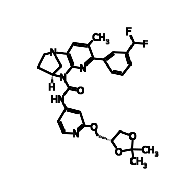 Cc1cc2c(nc1-c1cccc(C(F)F)c1)N(C(=O)Nc1ccnc(OC[C@@H]3COC(C)(C)O3)c1)[C@H]1CCN2C1